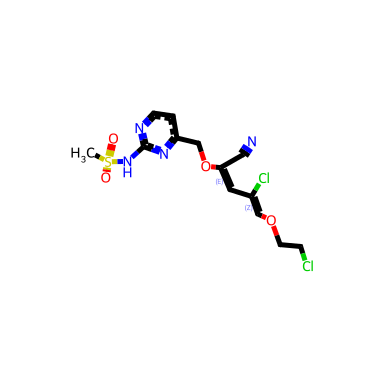 CS(=O)(=O)Nc1nccc(CO/C(C#N)=C/C(Cl)=C/OCCCl)n1